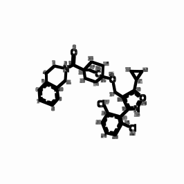 O=C(N1CCc2ccccc2C1)C12CCC(OCc3c(-c4c(Cl)cccc4Cl)noc3C3CC3)(CC1)CC2